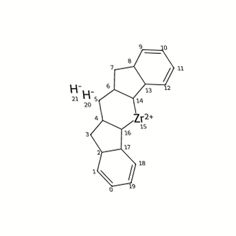 C1=CC2CC3CC4CC5C=CC=CC5[CH]4[Zr+2][CH]3C2C=C1.[H-].[H-]